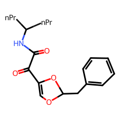 CCCC(CCC)NC(=O)C(=O)C1=COC(Cc2ccccc2)O1